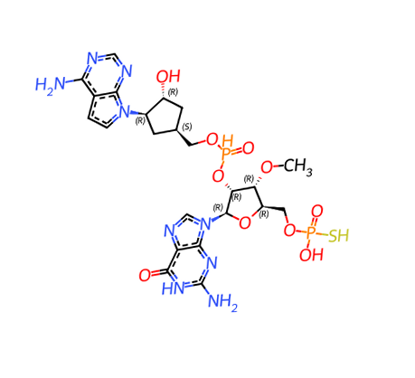 CO[C@H]1[C@@H](O[PH](=O)OC[C@@H]2C[C@@H](O)[C@H](n3ccc4c(N)ncnc43)C2)[C@H](n2cnc3c(=O)[nH]c(N)nc32)O[C@@H]1COP(=O)(O)S